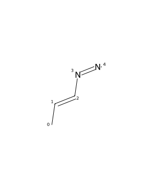 CC=CN=[N]